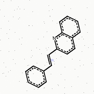 [c]1ccc(/C=C/c2ccc3ccccc3n2)cc1